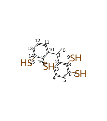 CC(c1cccc(S)c1S)c1cccc(S)c1S